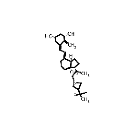 C=C1C(=CC=C2CCC[C@]3(C)[C@@H](C(C)CN4CC(C(C)(F)F)C4)CC[C@@H]23)C[C@@H](O)C[C@@H]1O